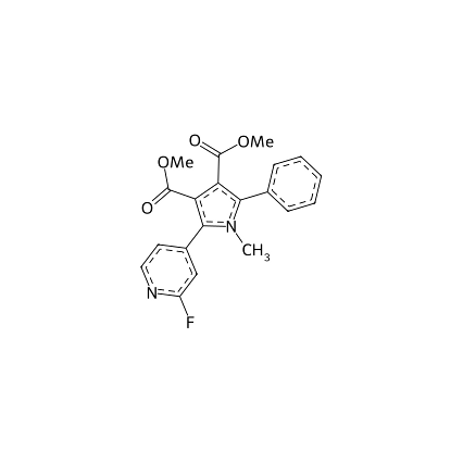 COC(=O)c1c(C(=O)OC)c(-c2ccnc(F)c2)n(C)c1-c1ccccc1